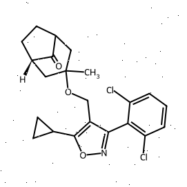 CC1(OCc2c(-c3c(Cl)cccc3Cl)noc2C2CC2)CC2CC[C@@H](C1)C2=O